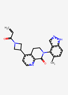 C=CC(=O)N1CC(c2ccnc3c2CCN(c2c(C)ccc4[nH]ncc24)C3=O)C1